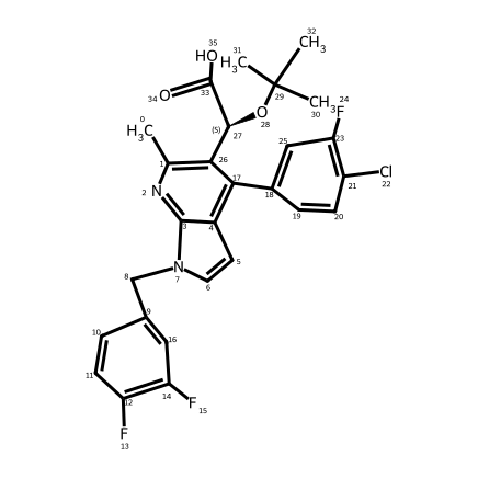 Cc1nc2c(ccn2Cc2ccc(F)c(F)c2)c(-c2ccc(Cl)c(F)c2)c1[C@H](OC(C)(C)C)C(=O)O